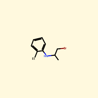 CCc1ccccc1NC(C)CBr